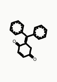 O=C1C=CC(=O)C(=C(c2ccccc2)c2ccccc2)C1